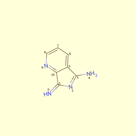 N=C1N=C(N)c2cccnc21